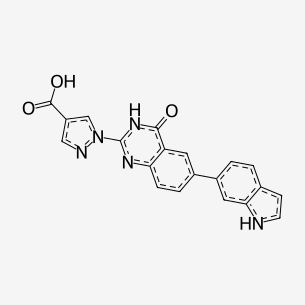 O=C(O)c1cnn(-c2nc3ccc(-c4ccc5cc[nH]c5c4)cc3c(=O)[nH]2)c1